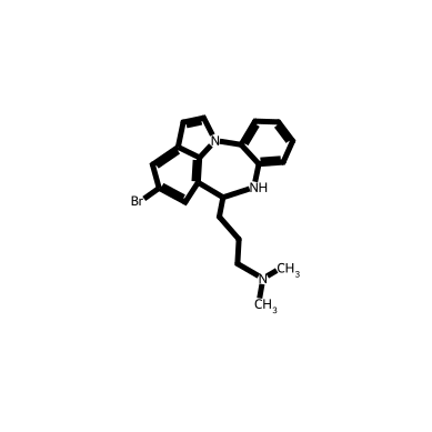 CN(C)CCCC1Nc2ccccc2-n2ccc3cc(Br)cc1c32